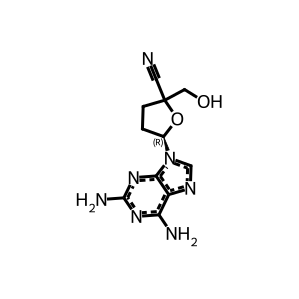 N#CC1(CO)CC[C@H](n2cnc3c(N)nc(N)nc32)O1